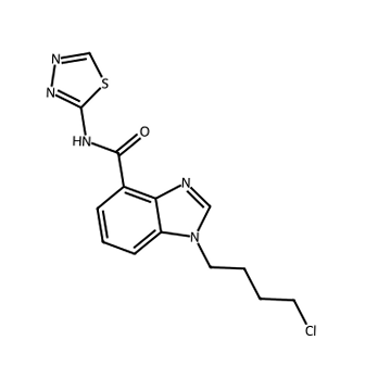 O=C(Nc1nncs1)c1cccc2c1ncn2CCCCCl